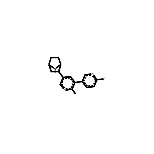 Fc1ccc(-c2cc(C3CC4CCC3N4)cnc2F)cn1